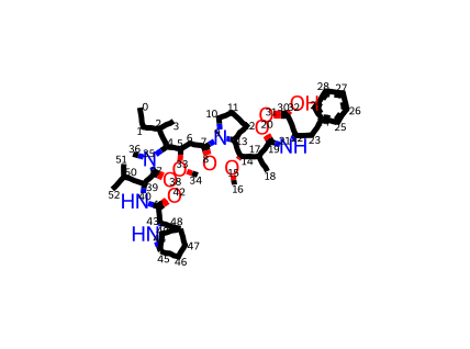 CCC(C)C(C(CC(=O)N1CCCC1C(OC)C(C)C(=O)NC(Cc1ccccc1)C(=O)O)OC)N(C)C(=O)C(NC(=O)C1NC2CCC1C2)C(C)C